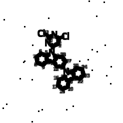 Clc1cc(-n2c3ccccc3c3cc(-n4c5ccccc5c5ccccc54)ccc32)nc(Cl)n1